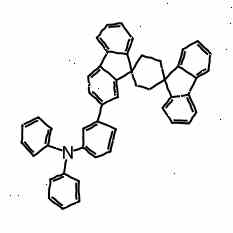 c1ccc(N(c2ccccc2)c2cccc(-c3ccc4c(c3)C3(CCC5(CC3)c3ccccc3-c3ccccc35)c3ccccc3-4)c2)cc1